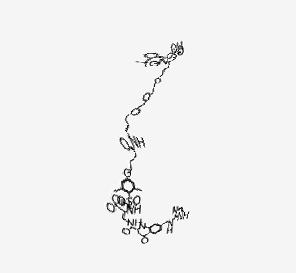 Cc1cc(OCCCC(=O)NCCCOCCOCCOCCCCC(CS(=O)(=O)O)N(C=O)OC(C)(C)C)cc(C)c1S(=O)(=O)NC(CNC(=O)C1CC(=O)c2ccc(CNc3ncc[nH]3)cc2N1C)C(=O)O